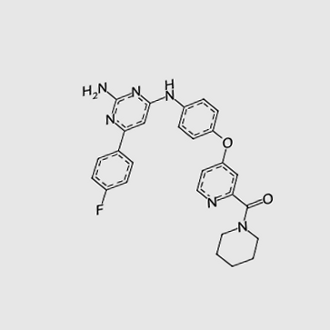 Nc1nc(Nc2ccc(Oc3ccnc(C(=O)N4CCCCC4)c3)cc2)cc(-c2ccc(F)cc2)n1